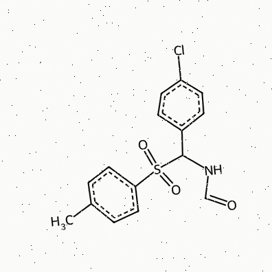 Cc1ccc(S(=O)(=O)C(NC=O)c2ccc(Cl)cc2)cc1